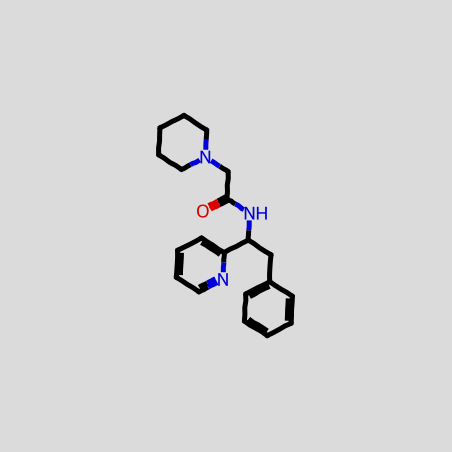 O=C(CN1CCCCC1)NC(Cc1ccccc1)c1ccccn1